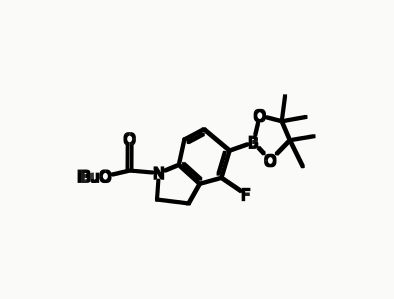 CC(C)COC(=O)N1CCc2c1ccc(B1OC(C)(C)C(C)(C)O1)c2F